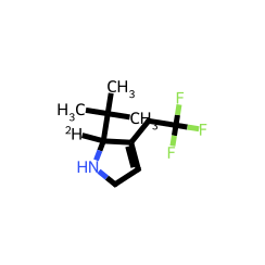 [2H]C1(C(C)(C)C)NCC=C1CC(F)(F)F